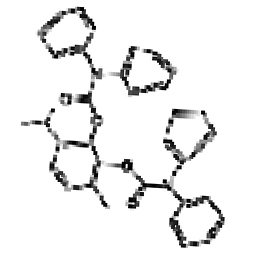 Cc1ccc(C(C)C)c(OC(=O)N(c2ccccc2)c2ccccc2)c1OC(=O)N(c1ccccc1)c1ccccc1